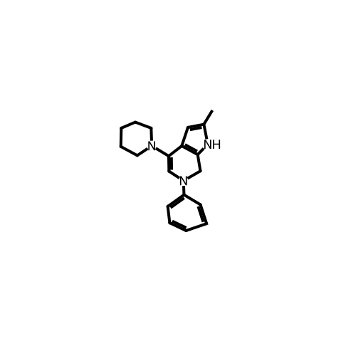 Cc1cc2c([nH]1)CN(c1ccccc1)C=C2N1CCCCC1